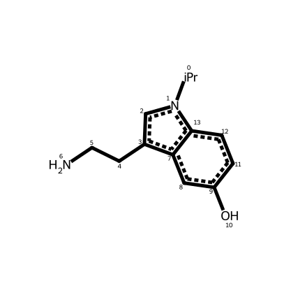 CC(C)n1cc(CCN)c2cc(O)ccc21